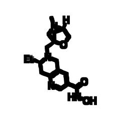 CC[C@@H]1Cc2ncc(C(=O)NO)cc2CN1C[C@@]12C[C@@H](CO1)N(C)C2